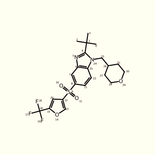 CC(C)(C)c1nc2cc(S(=O)(=O)c3coc(C(F)(F)F)c3)ccc2n1CC1CCOCC1